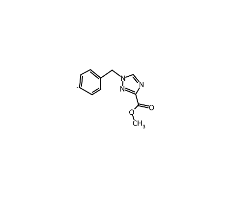 COC(=O)c1ncn(Cc2cc[c]cc2)n1